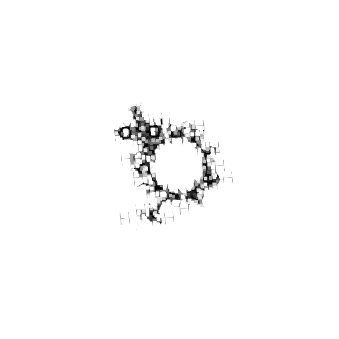 CCC[C@@H]1NC(=O)[C@H]([C@H](O)C(C)C)NC(=O)[C@@H](NC(=O)[C@H](Cc2cccnc2)NC(=O)[C@H](N)C[Si](C)(C)C)[C@@H](c2ccccc2)NC(=O)C(CO)NC(=O)[C@H](C)NC(=O)CNC(=O)[C@H]([C@H](C)O)NC(=O)[C@H]([C@@H](C)CC)NC(=O)[C@@H](CCCNC(=N)N)NC1=O